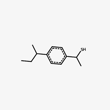 CCC(C)c1ccc(C(C)S)cc1